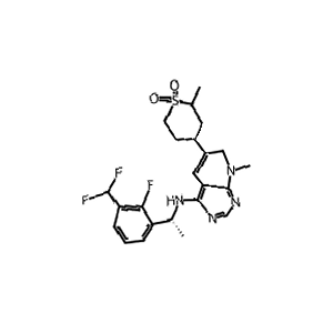 CC1CC(C2=Cc3c(N[C@H](C)c4cccc(C(F)F)c4F)ncnc3N(C)C2)CCS1(=O)=O